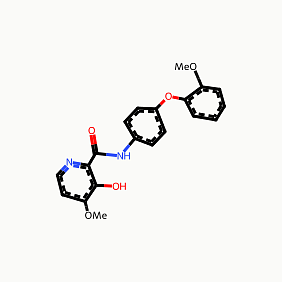 COc1ccccc1Oc1ccc(NC(=O)c2nccc(OC)c2O)cc1